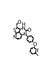 Cc1cccc(Oc2ccc(N3C(=O)Nc4c(C=O)sc5nccc3c45)cc2)n1